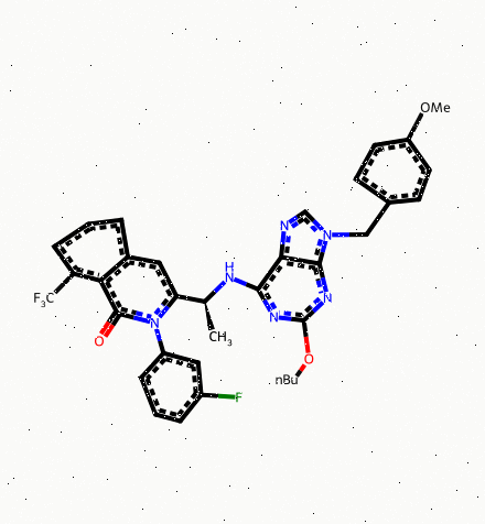 CCCCOc1nc(N[C@@H](C)c2cc3cccc(C(F)(F)F)c3c(=O)n2-c2cccc(F)c2)c2ncn(Cc3ccc(OC)cc3)c2n1